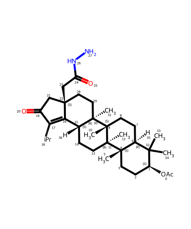 CC(=O)O[C@H]1CC[C@@]2(C)[C@@H](CC[C@]3(C)[C@]2(C)CC[C@@H]2C4=C(C(C)C)C(=O)C[C@]4(CC(=O)NN)CC[C@]23C)C1(C)C